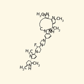 C=C1CC[C@H](c2ccc(N3CC[C@H](N4CCN(c5ccc6c(c5)N5CCCCCCc7c(cnn7C)-c7cc(cc(C)n7)C(=C)/N=C/5N6)CC4)C(F)C3)c(C)n2)C(=C)N1